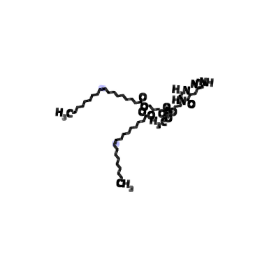 CCCCCCCC/C=C\CCCCCCCC(=O)OCC(COP(=O)(OC)OCCNC(=O)C(N)Cc1c[nH]cn1)OC(=O)CCCCCCC/C=C\CCCCCCCC